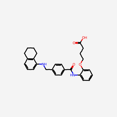 O=C(O)CCCOc1ccccc1NC(=O)c1ccc(CNc2cccc3c2CCCC3)cc1